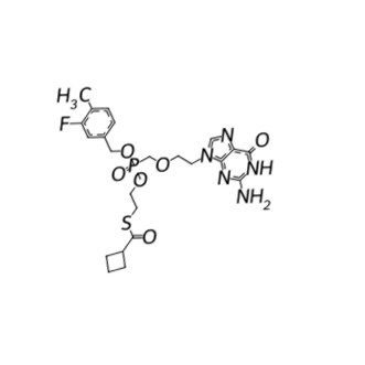 Cc1ccc(COP(=O)(COCCn2cnc3c(=O)[nH]c(N)nc32)OCCSC(=O)C2CCC2)cc1F